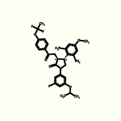 COc1cc(P)c([C@@H]2CN(c3cc(F)cc(OC(C)C)c3)C(=O)[C@H]2CC(=O)c2ccc(OC(C)(F)F)cc2)c(P)c1